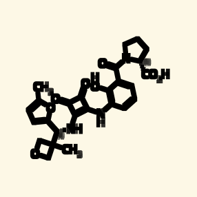 Cc1ccc([C@H](Nc2c(Nc3cccc(C(=O)N4CCC[C@@H]4C(=O)O)c3O)c(=O)c2=O)C2(C)COC2)o1